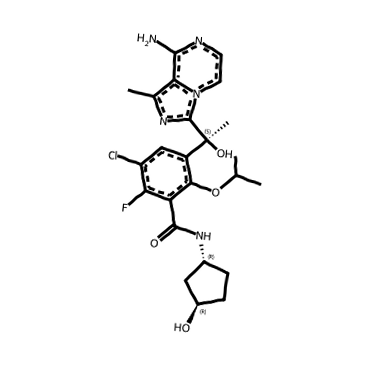 Cc1nc([C@@](C)(O)c2cc(Cl)c(F)c(C(=O)N[C@@H]3CC[C@@H](O)C3)c2OC(C)C)n2ccnc(N)c12